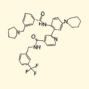 O=C(NCc1cccc(C(F)(F)F)c1)c1ccnc(-c2cc(N3CCCCC3)ccc2NC(=O)c2cccc(CN3CCCC3)c2)c1